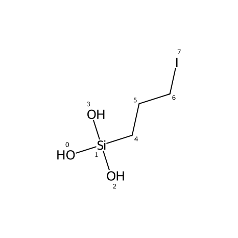 O[Si](O)(O)CCCI